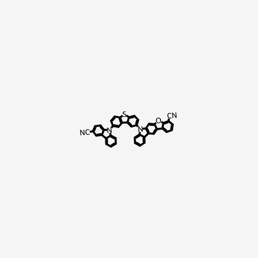 N#Cc1ccc2c(c1)c1ccccc1n2-c1ccc2sc3ccc(-n4c5ccccc5c5cc6c(cc54)oc4c(C#N)cccc46)cc3c2c1